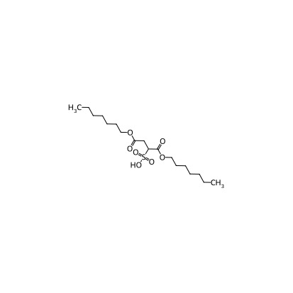 CCCCCCCOC(=O)CC(C(=O)OCCCCCCC)S(=O)(=O)O